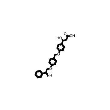 N=C(COc1ccc(COc2ccc(C(O)CC(=O)O)cc2)cc1)c1ccccc1